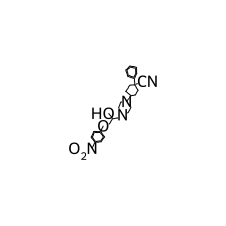 N#C[C@]1(c2ccccc2)CC[C@H](N2CCN(CC(O)COc3ccc([N+](=O)[O-])cc3)CC2)CC1